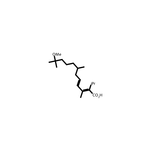 COC(C)(C)CCCC(C)CC=CC(C)=C(C(=O)O)C(C)C